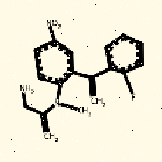 C=C(c1ccccc1F)c1cc([N+](=O)[O-])ccc1N(C)C(=C)CN